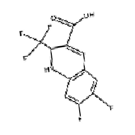 O=C(O)C1=Cc2cc(F)c(F)cc2NC1C(F)(F)F